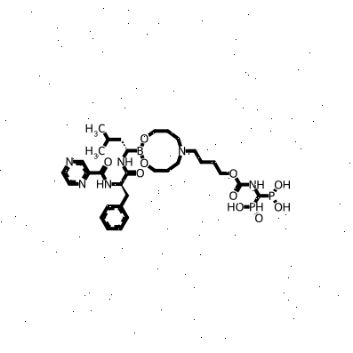 CC(C)C[C@@H](NC(=O)[C@@H](Cc1ccccc1)NC(=O)c1cnccn1)B1OCCCN(CCCCOC(=O)NC(P(O)O)[PH](=O)O)CCCO1